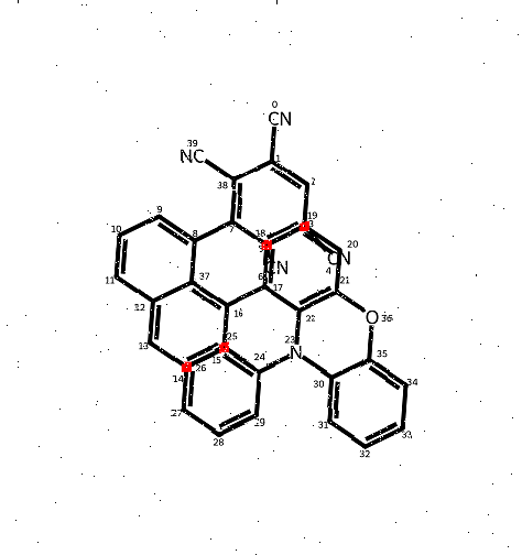 N#Cc1cc(C#N)c(C#N)c(-c2cccc3cccc(-c4cccc5c4N(c4ccccc4)c4ccccc4O5)c23)c1C#N